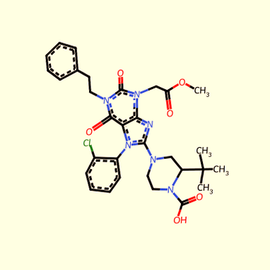 COC(=O)Cn1c(=O)n(CCc2ccccc2)c(=O)c2c1nc(N1CCN(C(=O)O)C(C(C)(C)C)C1)n2-c1ccccc1Cl